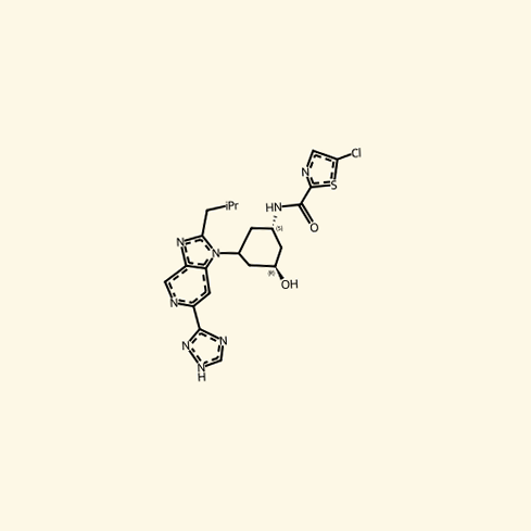 CC(C)Cc1nc2cnc(-c3nc[nH]n3)cc2n1C1C[C@H](O)C[C@@H](NC(=O)c2ncc(Cl)s2)C1